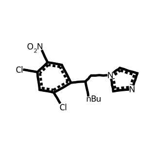 CCCCC(Cn1ccnc1)c1cc([N+](=O)[O-])c(Cl)cc1Cl